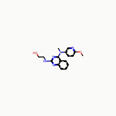 COc1ccc(N(C)c2nc(NCCO)nc3ccccc23)cn1